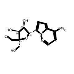 Nc1ccnn2c([C@@H]3O[C@@](CO)(CCl)[C@@H](O)[C@H]3O)ccc12